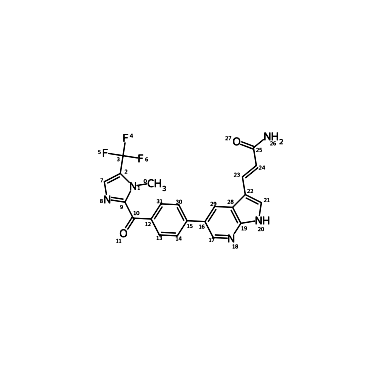 Cn1c(C(F)(F)F)cnc1C(=O)c1ccc(-c2cnc3[nH]cc(C=CC(N)=O)c3c2)cc1